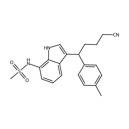 Cc1ccc(C(CCCC#N)c2c[nH]c3c(NS(C)(=O)=O)cccc23)cc1